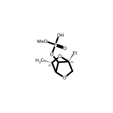 CC[C@]12COC(C1OP(=O)(O)OC)[C@H](C)O2